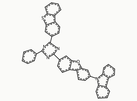 c1ccc(-c2nc(-c3ccc4c(c3)oc3cc(-n5c6ccccc6c6ccccc65)ccc34)nc(-c3ccc4c(c3)sc3ccccc34)n2)cc1